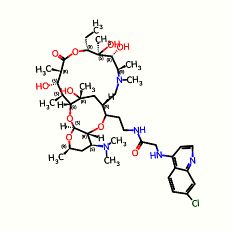 CC[C@H]1OC(=O)[C@H](C)[C@@H](O)[C@H](C)[C@H]2O[C@@H]3O[C@H](C)C[C@H](N(C)C)[C@H]3OC(CCNC(=O)CNc3ccnc4cc(Cl)ccc34)[C@@H](CN(C)[C@H](C)[C@@H](O)[C@]1(C)O)C[C@@]2(C)O